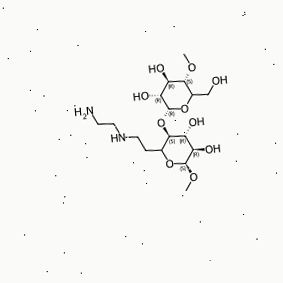 CO[C@H]1OC(CCNCCN)[C@@H](O[C@H]2OC(CO)[C@@H](OC)[C@H](O)[C@H]2O)[C@H](O)[C@H]1O